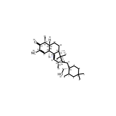 CC1CC(C)(C)CC[C@]1(CO)CCC(C)(C)[C@]1(C)CC[C@H]2[C@H](C)C(=O)C(C#N)=C[C@]2(C)/C1=C/[C@H](C)O